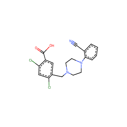 N#Cc1ccccc1N1CCN(Cc2cc(C(=O)O)c(Cl)cc2Cl)CC1